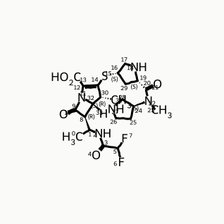 CC(NC(=O)C(F)F)[C@H]1C(=O)N2C(C(=O)O)=C(S[C@@H]3CN[C@H](C(=O)N(C)[C@H]4CCNC4)C3)[C@H](C)[C@H]12